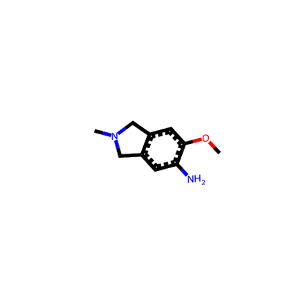 COc1cc2c(cc1N)CN(C)C2